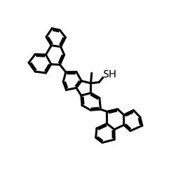 CC1(CS)c2cc(-c3cc4ccccc4c4ccccc34)ccc2-c2ccc(-c3cc4ccccc4c4ccccc34)cc21